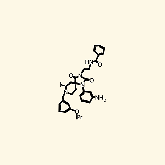 CC(C)Oc1cccc(CN2CC[C@@]3(C[C@@H]2I)C(=O)N(CCNC(=O)c2ccccc2)C(=O)N3c2cccc(N)c2)c1